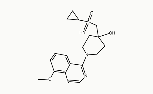 COc1cccc2c(N3CCC(O)(CS(=N)(=O)C4CC4)CC3)ncnc12